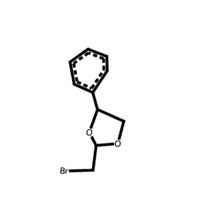 BrCC1OCC(c2ccccc2)O1